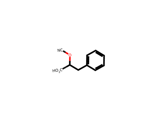 N#COC(Cc1ccccc1)C(=O)O